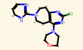 Clc1nc2c(c(N3CCOCC3)n1)CCN(C1=NC=CCN1)CC2